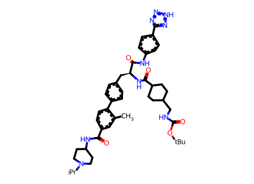 Cc1cc(C(=O)NC2CCN(C(C)C)CC2)ccc1-c1ccc(C[C@H](NC(=O)C2CCC(CNC(=O)OC(C)(C)C)CC2)C(=O)Nc2ccc(-c3nn[nH]n3)cc2)cc1